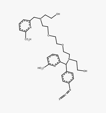 O=C(O)c1cccc(CN(CCO)CCOCCOCCN(CCO)C(c2ccc(N=C=S)cc2)c2cccc(C(=O)O)n2)n1